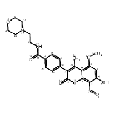 COc1cc(O)c(C=O)c2oc(=O)c(-c3ccc(C(=O)NCCN4CCOCC4)cc3)c(C)c12